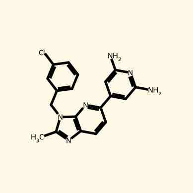 Cc1nc2ccc(-c3cc(N)nc(N)c3)nc2n1Cc1cccc(Cl)c1